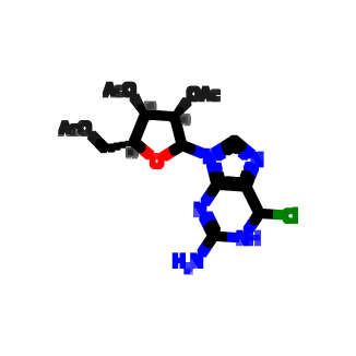 CC(=O)OC[C@H]1OC(n2cnc3c2N=C(N)NC3Cl)[C@H](OC(C)=O)[C@@H]1OC(C)=O